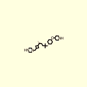 C[C@H](CCC(C)(C)C[C@H]1CC[C@H](OC2CCNCC2)CC1)C1CC(CN2CCNCC2)C1